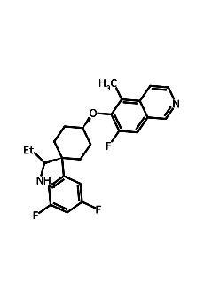 CCC(N)[C@]1(c2cc(F)cc(F)c2)CC[C@H](Oc2c(F)cc3cnccc3c2C)CC1